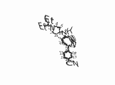 CCC(CC)N1CCC(Nc2ccc(-c3ccc(C#N)cc3)nn2)CC1